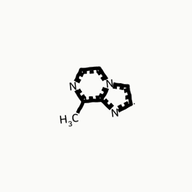 Cc1nccn2c[c]nc12